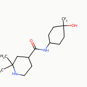 CC1(C)CC(C(=O)NC2CCC(O)(C(F)(F)F)CC2)CCN1